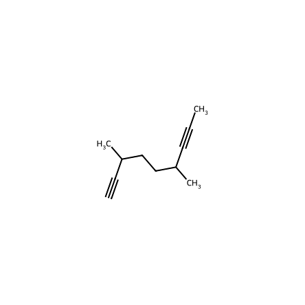 [C]#CC(C)CCC(C)C#CC